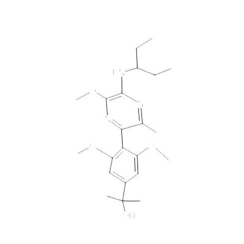 CCC(CC)Nc1nc(C)c(-c2c(OC)cc(C(C)(C)O)cc2OC)nc1OC